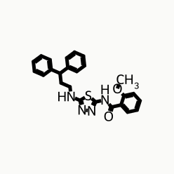 COc1ccccc1C(=O)Nc1nnc(NCCC(c2ccccc2)c2ccccc2)s1